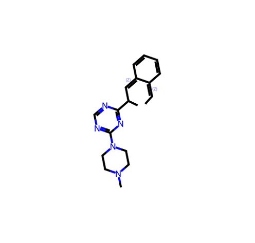 C/C=c1/cccc/c1=C/C(C)c1ncnc(N2CCN(C)CC2)n1